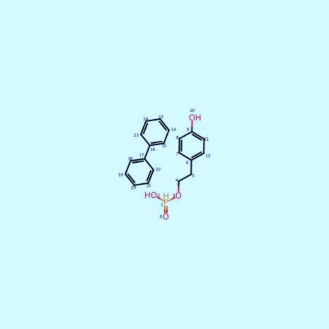 O=[PH](O)OCCc1ccc(O)cc1.c1ccc(-c2ccccc2)cc1